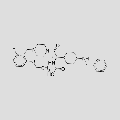 CCOc1cccc(F)c1CN1CCN(C(=O)[C@H](NC(=O)O)C2CCC(NCc3ccccc3)CC2)CC1